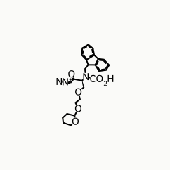 [N-]=[N+]=CC(=O)[C@H](COCCOC1CCCCO1)N(CC1c2ccccc2-c2ccccc21)C(=O)O